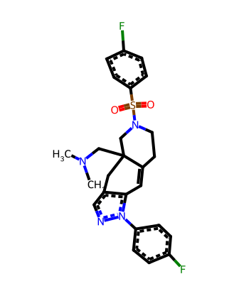 CN(C)CC12Cc3cnn(-c4ccc(F)cc4)c3C=C1CCN(S(=O)(=O)c1ccc(F)cc1)C2